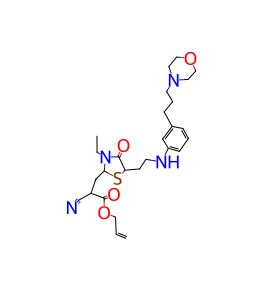 C=CCOC(=O)C(C#N)CC1SC(CCNc2cccc(CCCN3CCOCC3)c2)C(=O)N1CC